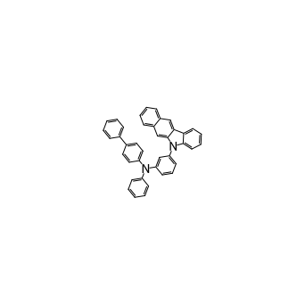 c1ccc(-c2ccc(N(c3ccccc3)c3cccc(-n4c5ccccc5c5cc6ccccc6cc54)c3)cc2)cc1